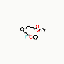 CCCOC(=O)CCC/C=C\C[C@H]1CCC[C@@H]1/C=C/[C@H](F)COc1ccccc1